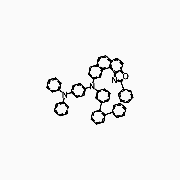 c1ccc(-c2nc3c(ccc4ccc5ccc(N(c6ccc(N(c7ccccc7)c7ccccc7)cc6)c6cccc(-c7ccccc7-c7ccccc7)c6)cc5c43)o2)cc1